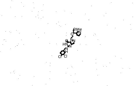 COCC(OCCn1ncc2nc(NCc3ccc(Cl)c(Cl)c3)[nH]c(=O)c21)c1cccnc1